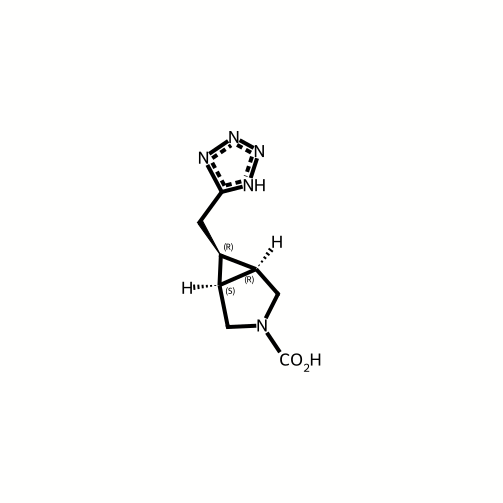 O=C(O)N1C[C@@H]2[C@H](Cc3nnn[nH]3)[C@@H]2C1